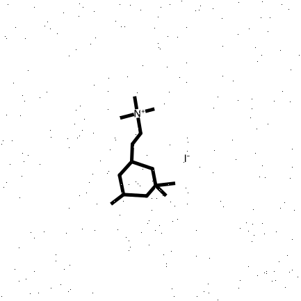 CC1CC(CC[N+](C)(C)C)CC(C)(C)C1.[I-]